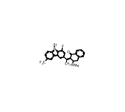 CCn1c2ccc(C(F)(F)F)cc2c2cc(/C(C)=C3\C(=O)c4ccccc4CC3NC)cc(F)c21